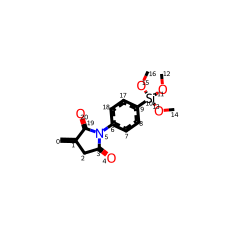 C=C1CC(=O)N(c2ccc([Si](OC)(OC)OC)cc2)C1=O